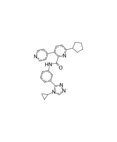 O=C(Nc1cccc(-c2nncn2C2CC2)c1)c1nc(C2CCCC2)ccc1-c1ccncc1